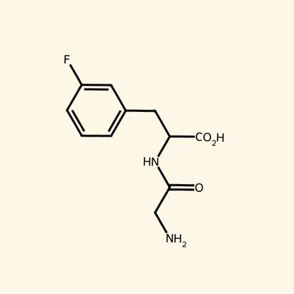 NCC(=O)NC(Cc1cccc(F)c1)C(=O)O